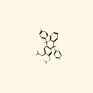 CCCCC(CC)Cc1cc2c(cc1CC(CC)CCCC)C(O)(c1ccc(Br)cc1)c1ccccc1C2(O)c1ccc(Br)cc1